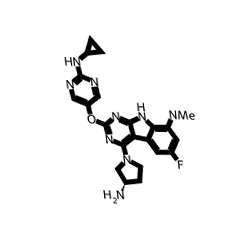 CNc1cc(F)cc2c1[nH]c1nc(Oc3cnc(NC4CC4)nc3)nc(N3CC[C@H](N)C3)c12